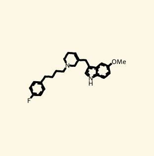 COc1ccc2[nH]cc(CC3=CCCN(CCCCc4ccc(F)cc4)C3)c2c1